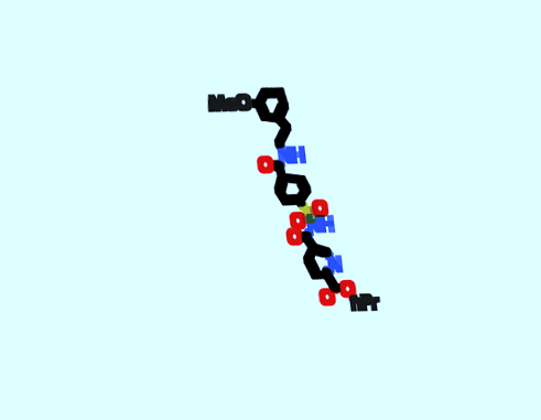 CCCOC(=O)c1ccc(C(=O)NS(=O)(=O)c2ccc(C(=O)NCCc3cccc(OC)c3)cc2)cn1